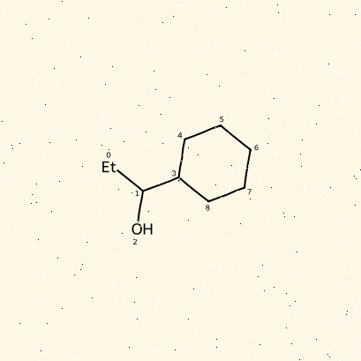 CCC(O)[C]1CCCCC1